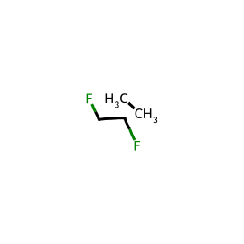 CC.FCCF